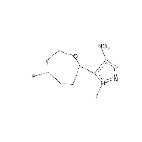 Cn1ncc([N+](=O)[O-])c1C1CCC(F)CCO1